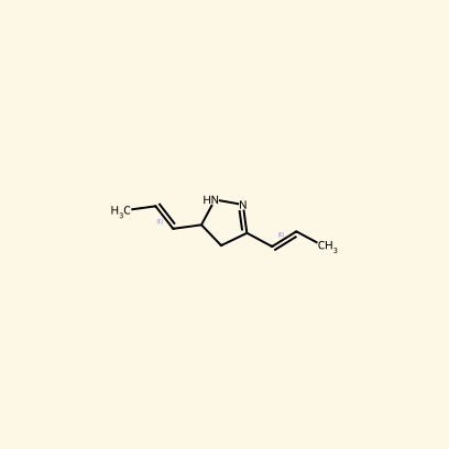 C/C=C/C1=NNC(/C=C/C)C1